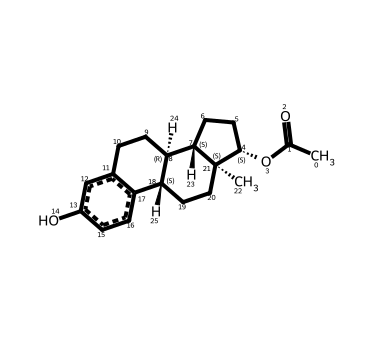 CC(=O)O[C@H]1CC[C@H]2[C@@H]3CCc4cc(O)ccc4[C@H]3CC[C@]12C